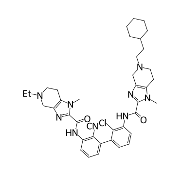 CCN1CCc2c(nc(C(=O)Nc3cccc(-c4cccc(NC(=O)c5nc6c(n5C)CCN(CCC5CCCCC5)C6)c4Cl)c3C#N)n2C)C1